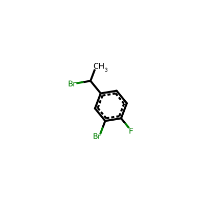 CC(Br)c1ccc(F)c(Br)c1